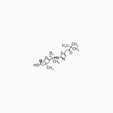 CC(C)(CC(=O)O)CC(=O)C(C)(C)CNc1ncc(CC(=O)C(C)(C)C)s1